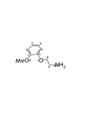 COc1c[c]ccc1OCCN